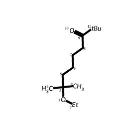 CCOC(C)(C)CCCCC(=O)C(C)(C)C